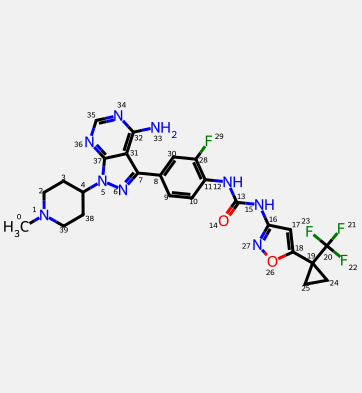 CN1CCC(n2nc(-c3ccc(NC(=O)Nc4cc(C5(C(F)(F)F)CC5)on4)c(F)c3)c3c(N)ncnc32)CC1